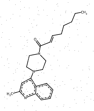 CCCCCC=CC(=O)N1CCN(c2cc(C)nc3ccccc23)CC1